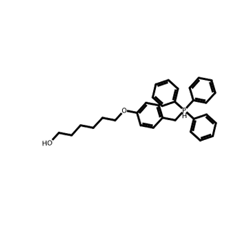 OCCCCCCOc1ccc(C[PH](c2ccccc2)(c2ccccc2)c2ccccc2)cc1